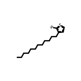 CCCCCCCCCCCCc1ccsc1[P]